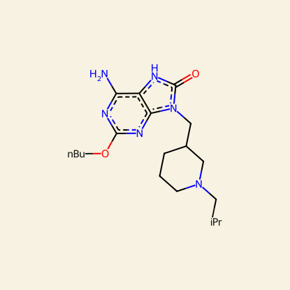 CCCCOc1nc(N)c2[nH]c(=O)n(CC3CCCN(CC(C)C)C3)c2n1